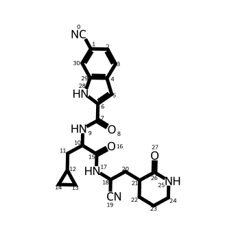 N#Cc1ccc2cc(C(=O)NC(CC3CC3)C(=O)NC(C#N)CC3CCCNC3=O)[nH]c2c1